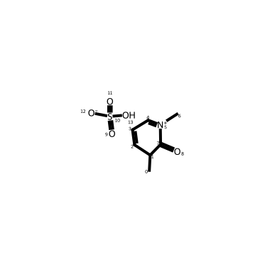 CC1C=CC=[N+](C)C1=O.O=S(=O)([O-])O